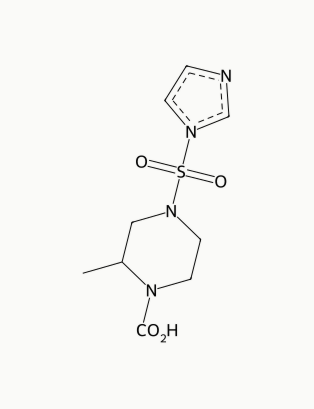 CC1CN(S(=O)(=O)n2ccnc2)CCN1C(=O)O